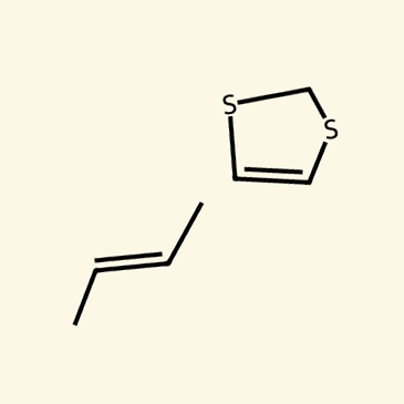 C1=CSCS1.CC=CC